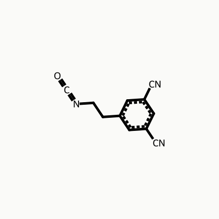 N#Cc1cc(C#N)cc(CCN=C=O)c1